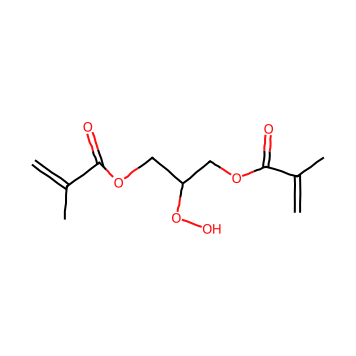 C=C(C)C(=O)OCC(COC(=O)C(=C)C)OO